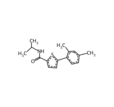 Cc1ccc(-c2ccc(C(=O)NC(C)C)s2)c(C)c1